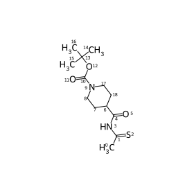 CC(=S)NC(=O)C1CCN(C(=O)OC(C)(C)C)CC1